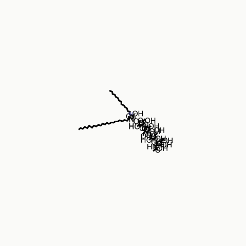 CCCCCCCCCCCCC/C=C/[C@@H](O)[C@H](CO[C@@H]1OC(CO)[C@@H](O[C@@H]2OC(CO)[C@H](O[C@@H]3OC(CO)[C@H](O)[C@H](O[C@@H]4OC(CO)[C@@H](O)[C@H](O)C4NC(C)=O)C3O)[C@H](O)C2O)[C@H](O)C1O)NC(=O)CCCCCCCCCCCCCCCCCCCCCCC